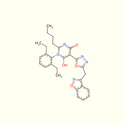 CCCCc1nc(=O)c(-c2nnc(Cc3noc4ccccc34)o2)c(O)n1-c1c(CC)cccc1CC